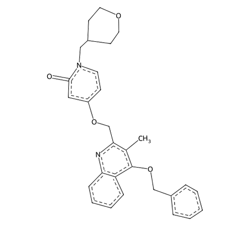 Cc1c(COc2ccn(CC3CCOCC3)c(=O)c2)nc2ccccc2c1OCc1ccccc1